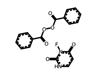 O=C(OOC(=O)c1ccccc1)c1ccccc1.O=c1cc[nH]c(=O)n1F